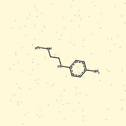 CCCNCCNc1ccc(N)cc1